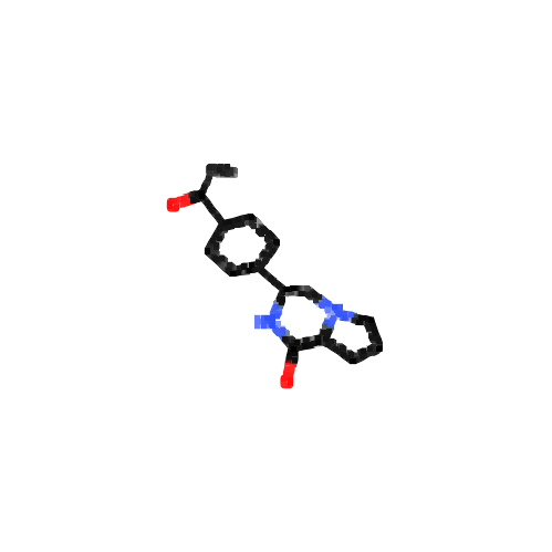 COC(=O)c1ccc(-c2cn3cccc3c(=O)[nH]2)cc1